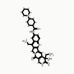 CCc1c2c(nc3ccc(NC(=O)C4CCC(N5CCCCC5)CC4)cc13)-c1cc3c(c(=O)n1C2)COC(=O)C3(O)CC